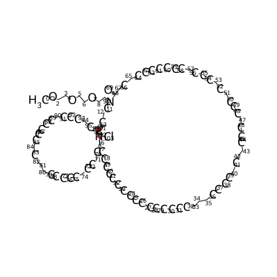 COCCOCCOCCN1CCCCCC2(CCCCCCCCCCCCCCCCCCCCCCCCCCCCCCCCCCCCCCCCCCCCCCCCCCCC1=O)CCCCCCCCCCCCCCCCCCCCCCCCCCC1(CCCCC1)N2Cl